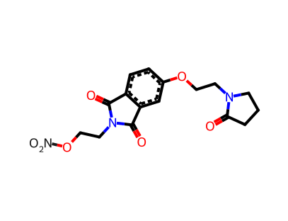 O=C1CCCN1CCOc1ccc2c(c1)C(=O)N(CCO[N+](=O)[O-])C2=O